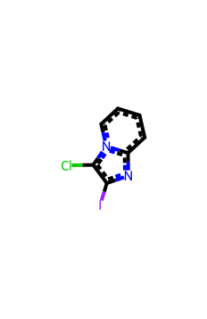 Clc1c(I)nc2ccccn12